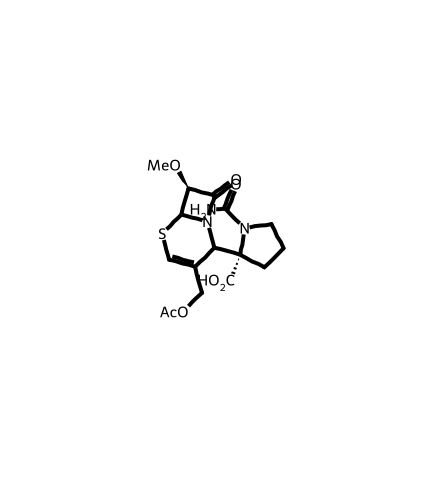 CO[C@H]1C(=O)N2C1SC=C(COC(C)=O)C2[C@]1(C(=O)O)CCCN1C(N)=O